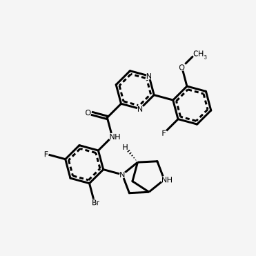 COc1cccc(F)c1-c1nccc(C(=O)Nc2cc(F)cc(Br)c2N2CC3C[C@@H]2CN3)n1